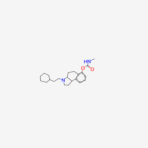 CNC(=O)Oc1cccc2c1CCC1C2CCN1CCC1CCCCC1